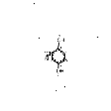 C#N.Oc1ccc(O)cc1